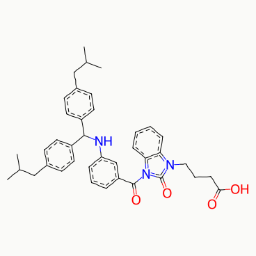 CC(C)Cc1ccc(C(Nc2cccc(C(=O)n3c(=O)n(CCCC(=O)O)c4ccccc43)c2)c2ccc(CC(C)C)cc2)cc1